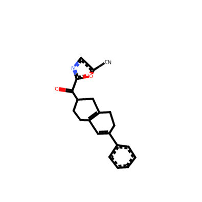 N#Cc1cnc(C(=O)C2CCC3=C(CCC(c4ccccc4)=C3)C2)o1